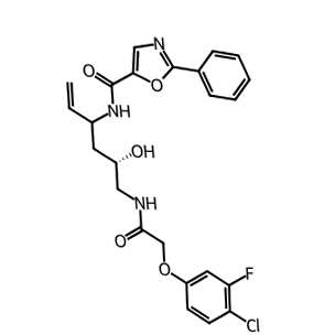 C=CC(C[C@H](O)CNC(=O)COc1ccc(Cl)c(F)c1)NC(=O)c1cnc(-c2ccccc2)o1